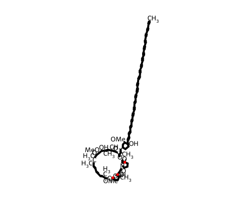 CC#CC#CC#CC#CC#CC#CC#CC#CC#CC#CC#CC#CC#CC#CC#CC#CC#CC#CC#CC#CC1(O)CC[C@@H](C[C@@H](C)[C@@H]2CC(=O)[C@H](C)/C=C(\C)[C@@H](O)[C@@H](OC)C(=O)[C@H](C)C[C@H](C)/C=C/C=C/C=C(\C)[C@@H](OC)C[C@@H]3CC[C@@H](C)[C@@](O)(O3)C(=O)C(=O)N3CCCC[C@H]3C(=O)O2)C[C@H]1OC